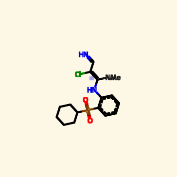 CN/C(Nc1ccccc1S(=O)(=O)C1CCCCC1)=C(/Cl)C=N